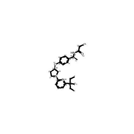 CCC(F)(CC)c1cccc(N2CC[C@@H](Oc3ccc([C@H](C)NC(=O)CI)cc3)C2)n1